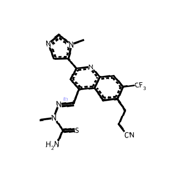 CN(/N=C/c1cc(-c2cncn2C)nc2cc(C(F)(F)F)c(CCC#N)cc12)C(N)=S